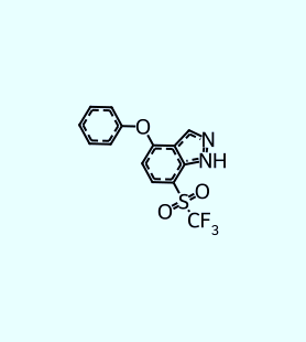 O=S(=O)(c1ccc(Oc2ccccc2)c2cn[nH]c12)C(F)(F)F